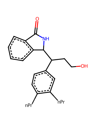 CCCc1ccc(C(CCO)C2NC(=O)c3ccccc32)cc1CCC